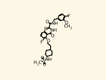 COc1cc(CNC(=O)c2nc3ccc(F)c(OCCC4CCC(NS(C)(=O)=O)CC4)c3c(=O)[nH]2)ccc1F